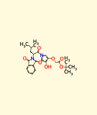 CC(C)C[C@@H](C(=O)n1cc(O)c(OCC(=O)OC(C)(C)C)c1)N1C(=O)c2ccccc2C1=O